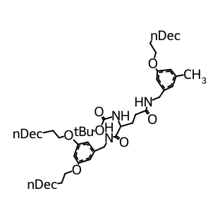 CCCCCCCCCCCCOc1cc(C)cc(CNC(=O)CCC(NC(=O)OC(C)(C)C)C(=O)NCc2cc(OCCCCCCCCCCCC)cc(OCCCCCCCCCCCC)c2)c1